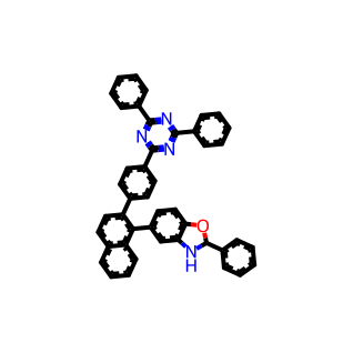 c1ccc(-c2nc(-c3ccccc3)nc(-c3ccc(-c4ccc5ccccc5c4-c4ccc5c(c4)NC(c4ccccc4)O5)cc3)n2)cc1